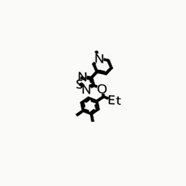 CCC(Oc1nsnc1C1=CCCN(C)C1)c1ccc(C)c(C)c1